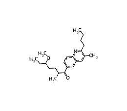 CCCCc1nc2ccc(C(=O)C(C)CCC(CC)OC)cc2cc1C